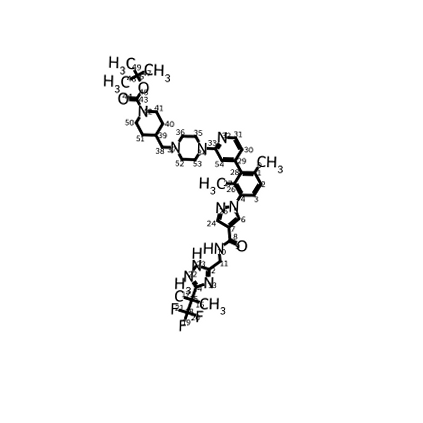 Cc1ccc(-n2cc(C(=O)NCc3nc(C(C)(C)C(F)(F)F)n[nH]3)cn2)c(C)c1-c1ccnc(N2CCN(CC3CCN(C(=O)OC(C)(C)C)CC3)CC2)c1